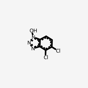 On1nnc2c(Cl)c(Cl)ccc21